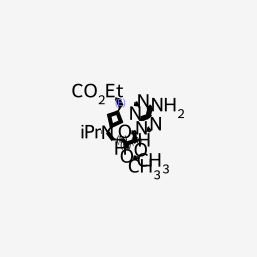 CCOC(=O)/C=C/[C@H]1C[C@@H](N(C[C@H]2OC(n3cnc4c(N)ncnc43)[C@@H]3OC(C)(C)O[C@H]23)C(C)C)C1